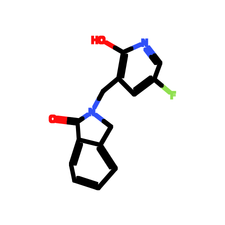 O=C1c2ccccc2CN1Cc1cc(F)cnc1O